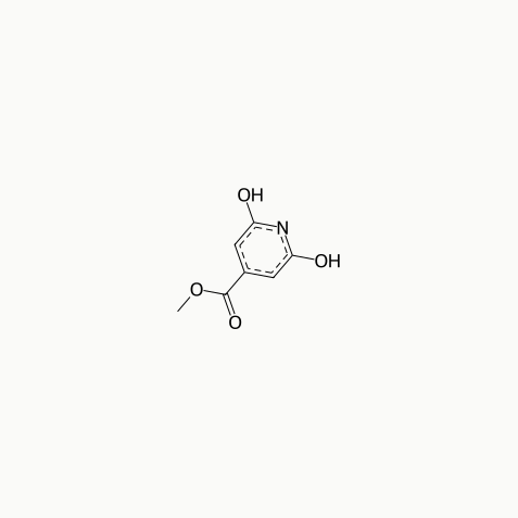 COC(=O)c1cc(O)nc(O)c1